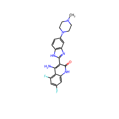 CN1CCN(c2ccc3[nH]c(-c4c(N)c5c(F)cc(F)cc5[nH]c4=O)nc3c2)CC1